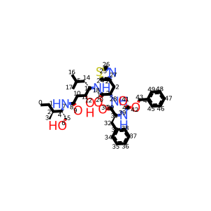 CC[C@H](C)[C@@H](CO)NC(=O)C[C@H](O)[C@H](CC(C)C)NC(=O)C(Cc1cscn1)NC(=O)[C@H](Cc1ccccc1)NC(=O)OCc1ccccc1